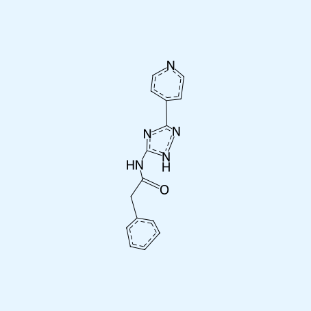 O=C(Cc1ccccc1)Nc1nc(-c2ccncc2)n[nH]1